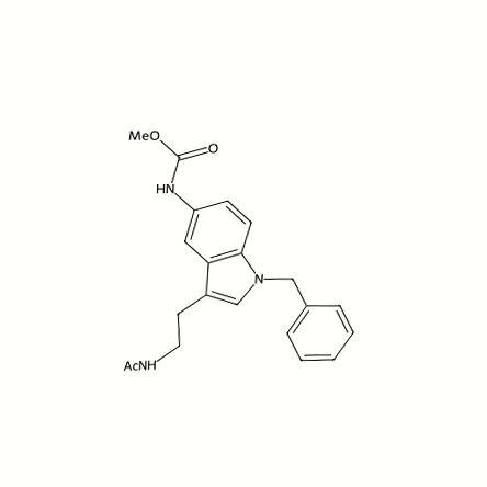 COC(=O)Nc1ccc2c(c1)c(CCNC(C)=O)cn2Cc1ccccc1